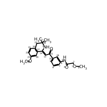 COCC(=O)Nc1cccc(C(=O)C=C2NC(C)(C)Cc3ccc(OC)cc32)c1